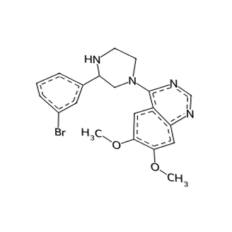 COc1cc2ncnc(N3CCNC(c4cccc(Br)c4)C3)c2cc1OC